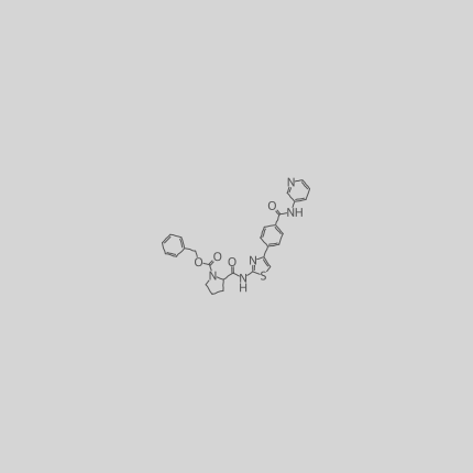 O=C(Nc1cccnc1)c1ccc(-c2csc(NC(=O)C3CCCN3C(=O)OCc3ccccc3)n2)cc1